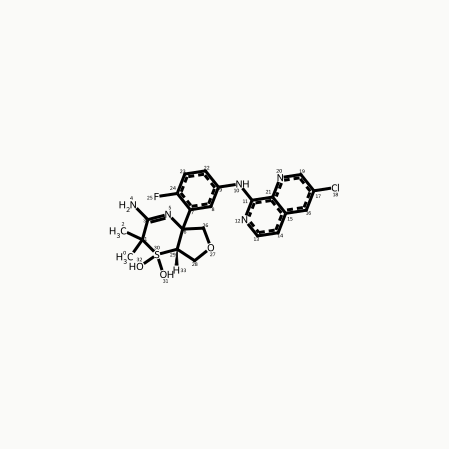 CC1(C)C(N)=NC2(c3cc(Nc4nccc5cc(Cl)cnc45)ccc3F)COC[C@@H]2S1(O)O